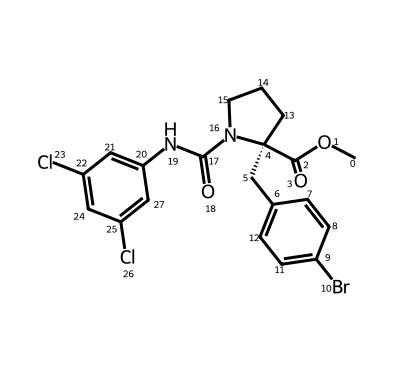 COC(=O)[C@]1(Cc2ccc(Br)cc2)CCCN1C(=O)Nc1cc(Cl)cc(Cl)c1